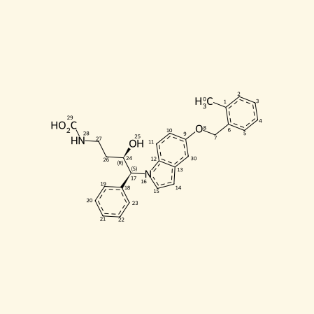 Cc1ccccc1COc1ccc2c(ccn2[C@@H](c2ccccc2)[C@H](O)CCNC(=O)O)c1